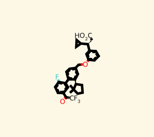 CC1(C)CCC[C@@H]1c1cc(COc2cccc([C@@H](CC(=O)O)C3CC3)c2)ccc1-c1cc(C(=O)C(F)(F)F)ccc1F